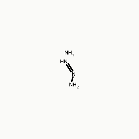 N.N=NN